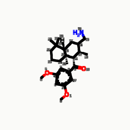 COc1cc(OC)cc(C(=O)[C@H]2[C@H](C)C(CN)C[C@H]3C(C)(C)CCC[C@]23C)c1